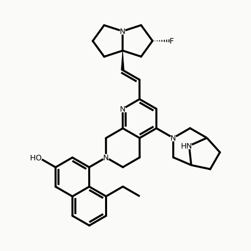 CCc1cccc2cc(O)cc(N3CCc4c(N5CC6CCC(C5)N6)cc(/C=C/[C@@]56CCCN5C[C@H](F)C6)nc4C3)c12